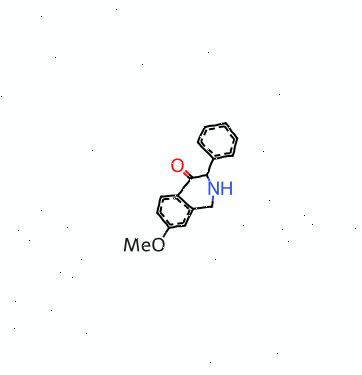 COc1ccc2c(c1)CNC(c1ccccc1)C2=O